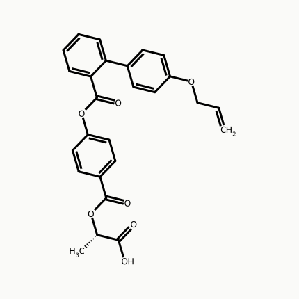 C=CCOc1ccc(-c2ccccc2C(=O)Oc2ccc(C(=O)O[C@@H](C)C(=O)O)cc2)cc1